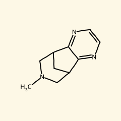 CN1CC2CC(C1)c1nccnc12